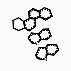 c1ccc2c(c1)ccc1c3c(ccc12)CCCC3.c1ccc2ncccc2c1.c1ccc2ncccc2c1